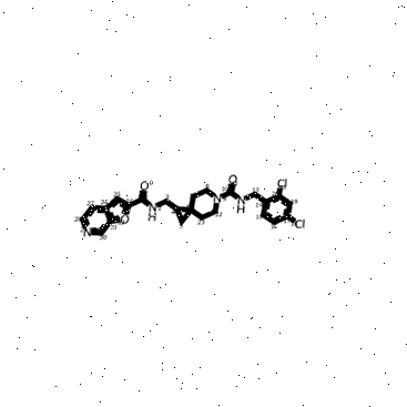 O=C(NCC1CC12CCN(C(=O)NCc1ccc(Cl)cc1Cl)CC2)c1cc2ccncc2o1